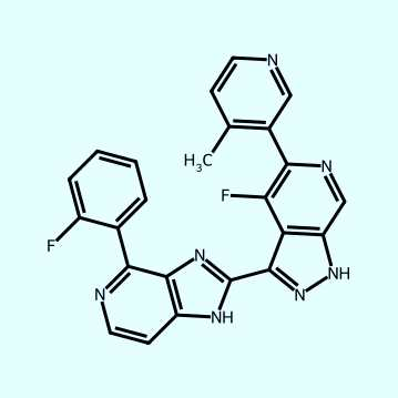 Cc1ccncc1-c1ncc2[nH]nc(-c3nc4c(-c5ccccc5F)nccc4[nH]3)c2c1F